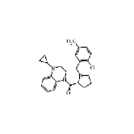 Cc1ccc(Cl)c(CN2CCC[C@H]2C(=O)N2CCN(C3CC3)c3ccccc32)c1